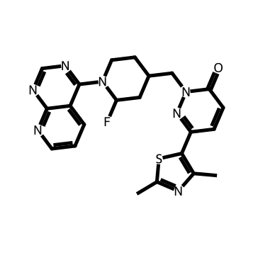 Cc1nc(C)c(-c2ccc(=O)n(CC3CCN(c4ncnc5ncccc45)C(F)C3)n2)s1